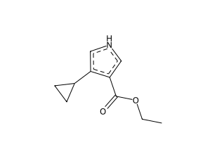 CCOC(=O)c1c[nH]cc1C1CC1